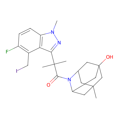 Cn1nc(C(C)(C)C(=O)N2C3CC4(C)CC2CC(O)(C3)C4)c2c(CI)c(F)ccc21